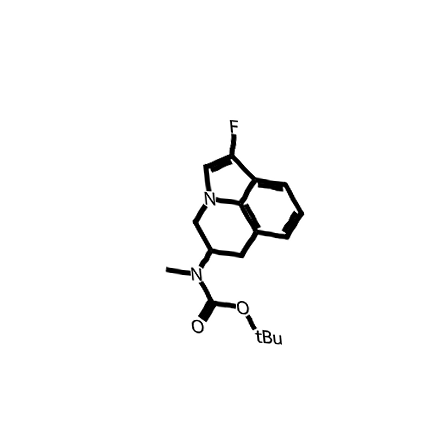 CN(C(=O)OC(C)(C)C)C1Cc2cccc3c(F)cn(c23)C1